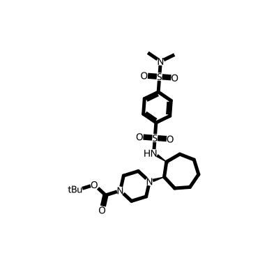 CN(C)S(=O)(=O)c1ccc(S(=O)(=O)N[C@H]2CCCCC[C@H]2N2CCN(C(=O)OC(C)(C)C)CC2)cc1